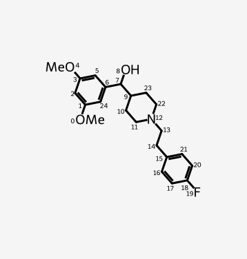 COc1cc(OC)cc(C(O)C2CCN(CCc3ccc(F)cc3)CC2)c1